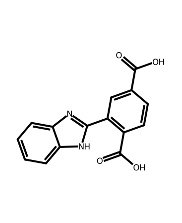 O=C(O)c1ccc(C(=O)O)c(-c2nc3ccccc3[nH]2)c1